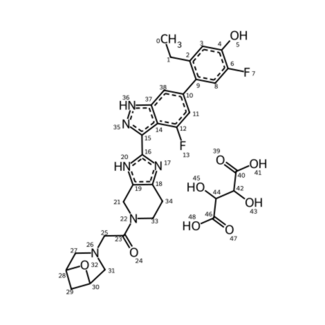 CCc1cc(O)c(F)cc1-c1cc(F)c2c(-c3nc4c([nH]3)CN(C(=O)CN3CC5CC(C3)O5)CC4)n[nH]c2c1.O=C(O)C(O)C(O)C(=O)O